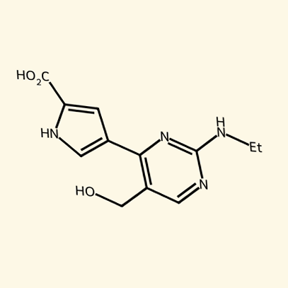 CCNc1ncc(CO)c(-c2c[nH]c(C(=O)O)c2)n1